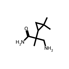 CC1(C)CC1C(C)(CN)C(N)=O